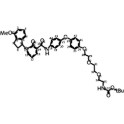 COc1cccc2c1CCC2n1cccc(C(=O)Nc2ccc(Oc3ccc(OCCOCCOCCNC(=O)OC(C)(C)C)cc3)cc2)c1=O